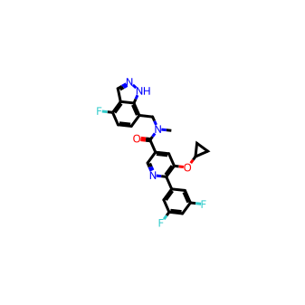 CN(Cc1ccc(F)c2cn[nH]c12)C(=O)c1cnc(-c2cc(F)cc(F)c2)c(OC2CC2)c1